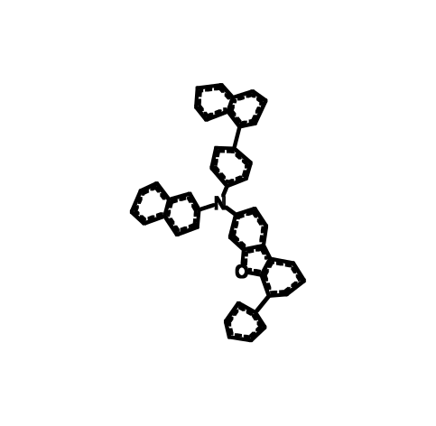 c1ccc(-c2cccc3c2oc2cc(N(c4ccc(-c5cccc6ccccc56)cc4)c4ccc5ccccc5c4)ccc23)cc1